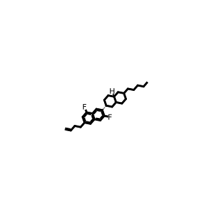 C=CCCc1cc(F)c2cc([C@@H]3CC[C@@H]4CC(CCCCC)CCC4C3)c(F)cc2c1